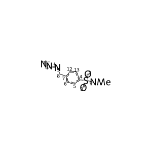 CNS(=O)(=O)c1ccc(CN=[N+]=[N-])cc1